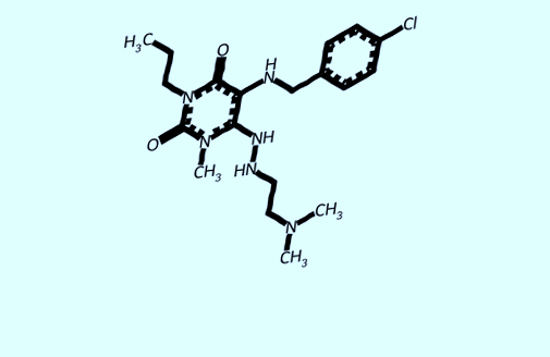 CCCn1c(=O)c(NCc2ccc(Cl)cc2)c(NNCCN(C)C)n(C)c1=O